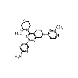 Cc1nccc(N2CCc3c(nc(-c4cnc(N)nc4)nc3N3CCOC[C@@H]3C)C2)n1